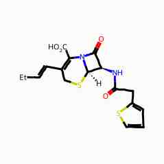 CC/C=C/C1=C(C(=O)O)N2C(=O)[C@@H](NC(=O)Cc3cccs3)[C@H]2SC1